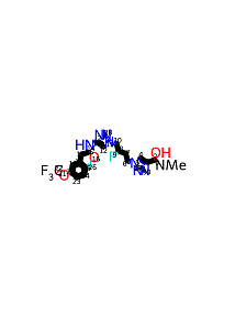 CNC(O)c1cn(CCC(F)Cn2cc(NC(=O)Cc3cc(OC(F)(F)F)ccc3F)nn2)nn1